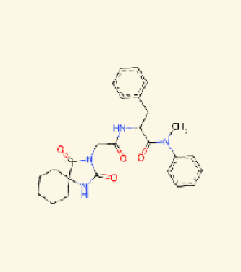 CN(C(=O)C(Cc1ccccc1)NC(=O)CN1C(=O)NC2(CCCCC2)C1=O)c1ccccc1